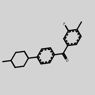 Cc1ccc(C(=O)c2ccc(C3CCC(C)CC3)cc2)cc1F